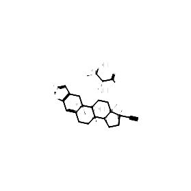 C#C[C@]1(O)CC[C@H]2[C@@H]3CCC4=Cc5oncc5C[C@]4(C)[C@H]3CC[C@@]21C.C[C@@H](O)[C@H](N)C(=O)O